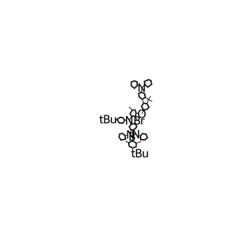 Cc1cc(Oc2ccc3c(c2)-c2ccc(N(c4ccccc4)c4ccccc4)cc2C3(C)C)c(Br)c(N(c2ccc(C(C)(C)C)cc2)c2ccc3c(c2)N(c2ccccc2)B(c2c(C)cc(C(C)(C)C)cc2C)N3c2ccccc2)c1